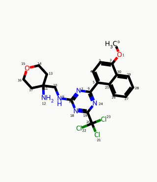 COc1ccc(-c2nc(NCC3(N)CCOCC3)nc(C(Cl)(Cl)Cl)n2)c2ccccc12